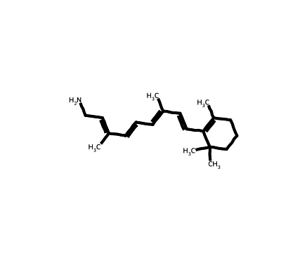 CC(C=CC1=C(C)CCCC1(C)C)=CC=CC(C)=CCN